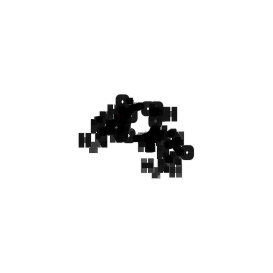 C#C[C@@H]1[C@H]2COP(=O)(O)O[C@H]3[C@H]4OC[C@]3(CO[P@@](=O)(S)O[C@H]1[C@H](n1cnc3c(=O)[nH]c(N)nc31)C2)O[C@H]4n1cnc2c(N)ncnc21